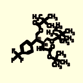 CC(C)(C)OC(=O)N[C@@H](CO[Si](C)(C)C(C)(C)C)[C@H](COC(=O)C(C)(C)C)c1ccc(C(F)(F)F)cc1